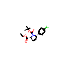 CCOC(=O)[C@H]1CC[C@@H](c2ccc(Cl)cc2)N1C(=O)OC(C)(C)C